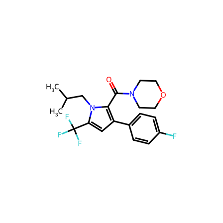 CC(C)Cn1c(C(F)(F)F)cc(-c2ccc(F)cc2)c1C(=O)N1CCOCC1